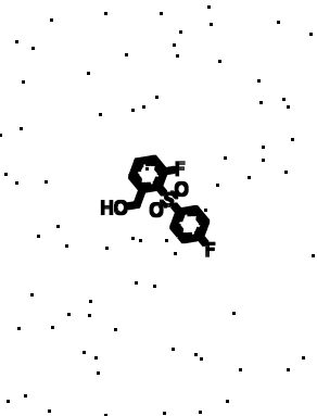 O=S(=O)(c1ccc(F)cc1)c1c(F)cccc1CO